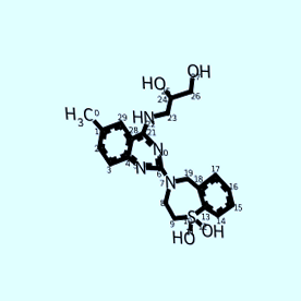 Cc1ccc2nc(N3CCS(O)(O)c4ccccc4C3)nc(NCC(O)CO)c2c1